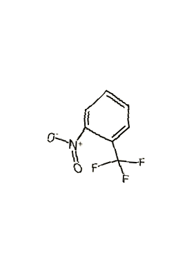 O=[N+]([O-])c1ccccc1C(F)(F)F